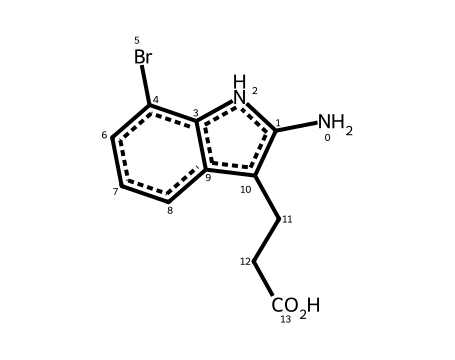 Nc1[nH]c2c(Br)cccc2c1CCC(=O)O